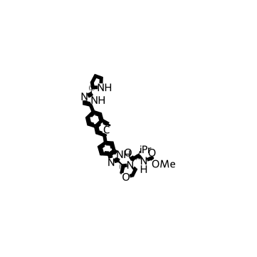 COC(=O)N[C@H](C(=O)N1CCOC[C@H]1c1nc2ccc(-c3ccc4cc(-c5cnc([C@@H]6CCCN6)[nH]5)ccc4c3)cc2[nH]1)C(C)C